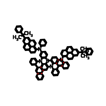 CC(C)(c1ccccc1)c1cc2ccc3ccc(N(c4ccccc4)c4ccc5c(c4)N(c4ccccc4-c4ccccc4)c4cc(-c6ccccc6)cc6c4B5c4ccc(N(c5ccccc5)c5ccc7ccc8cc(C(C)(C)c9ccccc9)cc9ccc5c7c89)cc4N6c4ccccc4-c4ccccc4)c4ccc(c1)c2c34